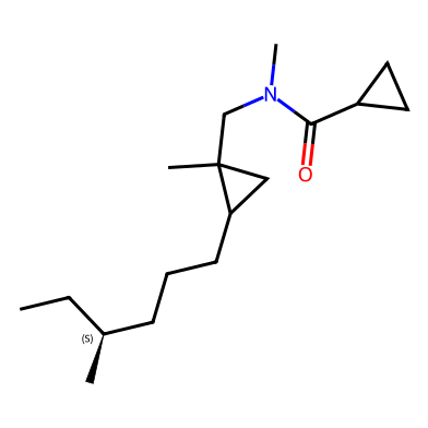 CC[C@H](C)CCCC1CC1(C)CN(C)C(=O)C1CC1